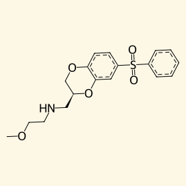 COCCNC[C@H]1COc2ccc(S(=O)(=O)c3ccccc3)cc2O1